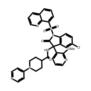 COc1ncccc1C1(NC(=O)C2CCN(c3ccncc3)CC2)C(=O)N(S(=O)(=O)c2cccc3cccnc23)c2ccc(Cl)cc21